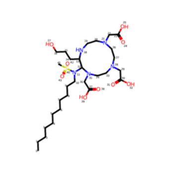 CCCCCCCCCCCN(C1C(CCCO)NCCN(CC(=O)O)CCN(CC(=O)O)CCN1CC(=O)O)S(C)(=O)=O